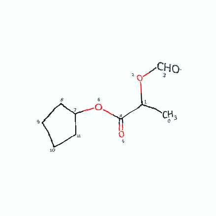 CC(O[C]=O)C(=O)OC1CCCC1